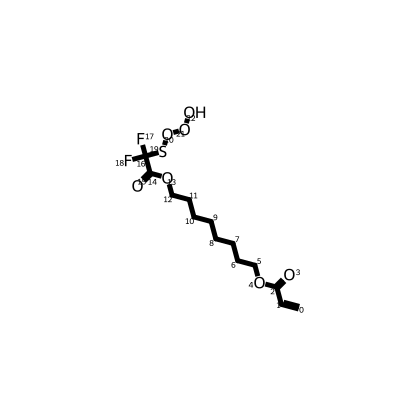 C=CC(=O)OCCCCCCCCOC(=O)C(F)(F)SOOO